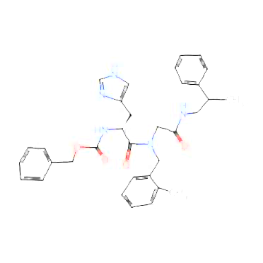 Cc1ccccc1CN(CC(=O)NCC(C)c1ccccc1)C(=O)[C@H](Cc1c[nH]cn1)NC(=O)OCc1ccccc1